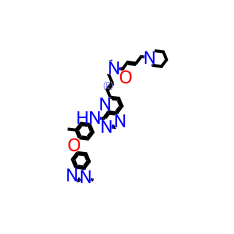 Cc1cc(Nc2ncnc3ccc(/C=C/CN(C)C(=O)C=CCN4CCCCC4)nc23)ccc1Oc1ccc2c(c1)ncn2C